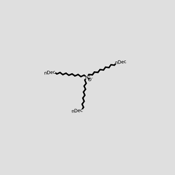 CCCCCCCCCCCCCCCCCCCC[N+]([O-])(CCCCCCCCCCCCCCCCCCCC)CCCCCCCCCCCCCCCCCCCC